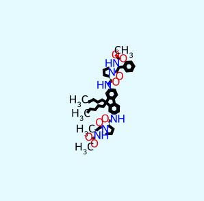 CCCCCC1(CCCCC)c2cc(NC(=O)[C@@H]3CCCN3C(=O)[C@@H](C)NC(=O)OC)ccc2-c2ccc(NC(=O)[C@@H]3CCCN3C(=O)[C@H](NC(=O)OC)c3ccccc3)cc21